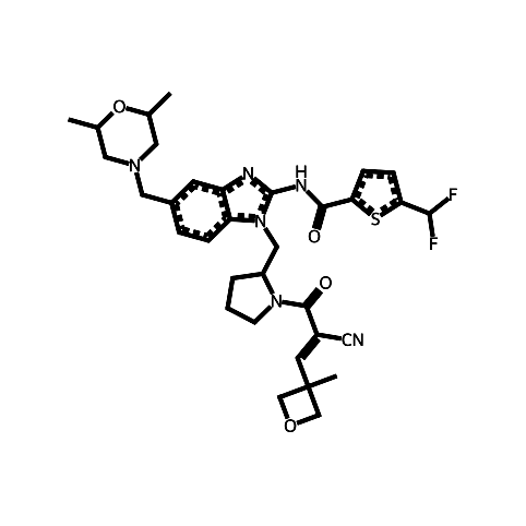 CC1CN(Cc2ccc3c(c2)nc(NC(=O)c2ccc(C(F)F)s2)n3CC2CCCN2C(=O)C(C#N)=CC2(C)COC2)CC(C)O1